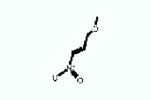 COCC=C[N+](=O)[O-]